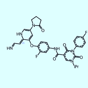 CC(C)n1cc(C(=O)Nc2ccc(OC3=CC(N4CCCC4=O)=CN/C3=C\C=N)c(F)c2)c(=O)n(-c2ccc(F)cc2)c1=O